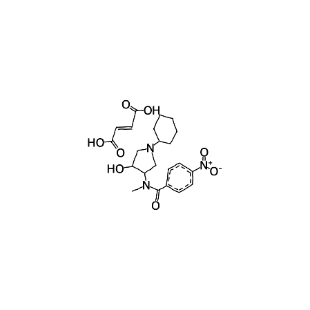 CN(C(=O)c1ccc([N+](=O)[O-])cc1)C1CN(C2CCCCC2)CC1O.O=C(O)/C=C/C(=O)O